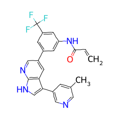 C=CC(=O)Nc1cc(-c2cnc3[nH]cc(-c4cncc(C)c4)c3c2)cc(C(F)(F)F)c1